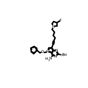 CCCCc1nc(N)c2c(n1)c(C#CCCCCN1CCC(F)C1)cn2COCc1ccccc1